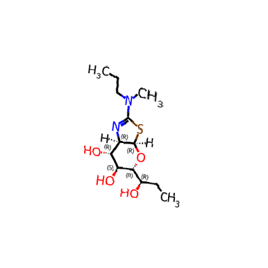 CCCN(C)C1=N[C@@H]2[C@@H](O)[C@H](O)[C@@H]([C@H](O)CC)O[C@@H]2S1